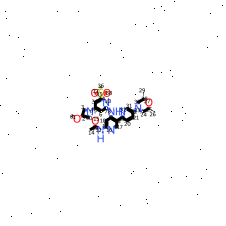 COC1CN(c2cc(Nc3cc(NC(C)=O)ncc3-c3ccc(N4C[C@@H](C)O[C@@H](C)C4)cn3)nc(S(C)(=O)=O)c2)C1